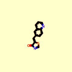 O=C1N=CS/C1=C\c1ccc2ncccc2c1